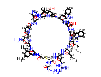 CCCC[C@H]1C(=O)N(C)[C@@H](CCCC)C(=O)N[C@@H](CCCNC(=N)N)C(=O)N[C@H](C(=O)NCC(N)=O)CSCC(=O)N[C@@H](Cc2cccc(C)c2)C(=O)N(C)[C@@H](C)C(=O)N[C@@H](CC(N)=O)C(=O)N2CCC[C@H]2C(=O)N[C@@H](Cc2cnc[nH]2)C(=O)N[C@@H](CC(C)C)C(=O)N2C[C@H](O)C[C@H]2C(=O)N[C@@H](Cc2c[nH]c3ccccc23)C(=O)N[C@@H](CO)C(=O)N[C@@H](Cc2c[nH]c3ccccc23)C(=O)N1C